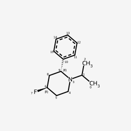 CC(C)N1CC[C@@H](F)C[C@@H]1c1ccccc1